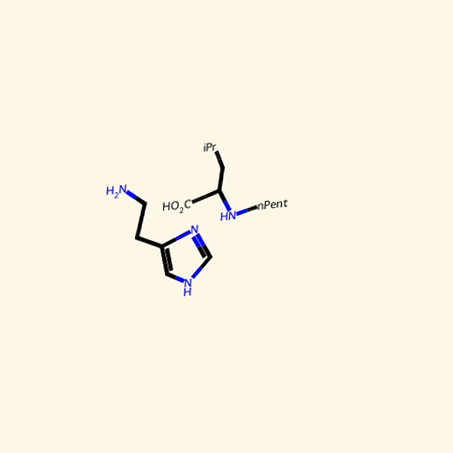 CCCCCNC(CC(C)C)C(=O)O.NCCc1c[nH]cn1